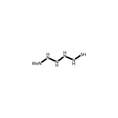 CNNNNNS